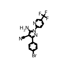 N#Cc1c(-c2ccc(Br)cc2)nn(-c2ccc(C(F)(F)F)cn2)c1N